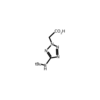 CC(C)(C)Bc1nnn(CC(=O)O)n1